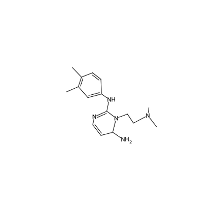 Cc1ccc(NC2=NC=CC(N)N2CCN(C)C)cc1C